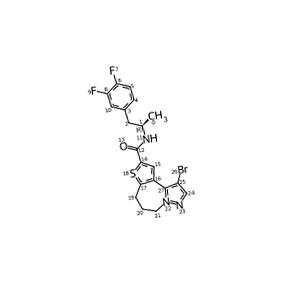 C[C@H](Cc1ccc(F)c(F)c1)NC(=O)c1cc2c(s1)CCCn1ncc(Br)c1-2